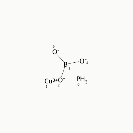 P.[Cu+3].[O-]B([O-])[O-]